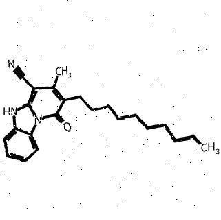 CCCCCCCCCCc1c(C)c(C#N)c2[nH]c3ccccc3n2c1=O